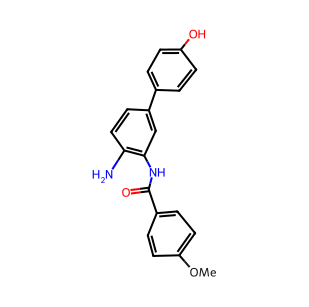 COc1ccc(C(=O)Nc2cc(-c3ccc(O)cc3)ccc2N)cc1